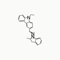 CCn1c2ccccc2c2cc(/C=N/N3c4ccccc4CC3C)ccc21